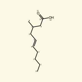 CCCC/C=C/CC(C)CC(=O)O